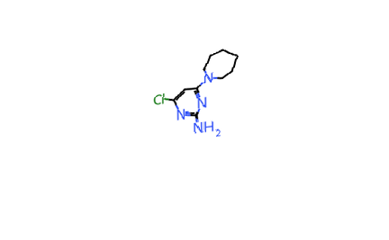 Nc1nc(Cl)cc(N2CCCCCC2)n1